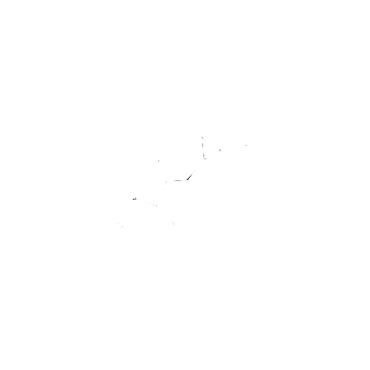 C[C@H]1C[C@@H]1CC(N)C(O)C(N)=O